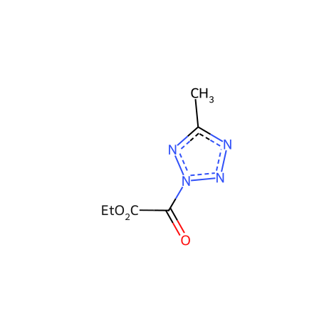 CCOC(=O)C(=O)n1nnc(C)n1